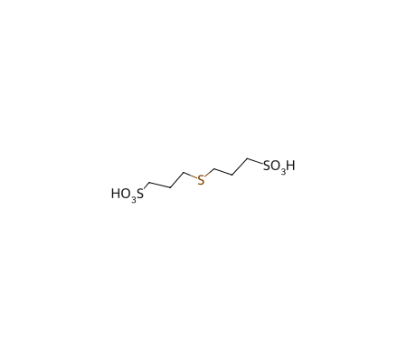 O=S(=O)(O)CCCSCCCS(=O)(=O)O